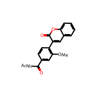 COc1cc(C(=O)NC(C)=O)ccc1-c1cc2ccccc2oc1=O